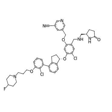 N#Cc1cncc(COc2cc(O[C@H]3CCc4c(-c5cccc(OCCCN6CCC(F)CC6)c5Cl)cccc43)c(Cl)cc2CNC[C@H]2CCC(=O)N2)c1